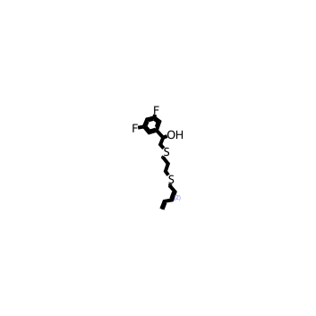 C=C/C=C\CSCCCSCC(O)c1cc(F)cc(F)c1